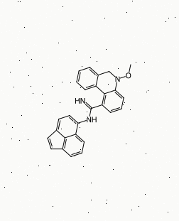 CON1Cc2ccccc2-c2c(C(=N)Nc3ccc4c5c(cccc35)C=C4)cccc21